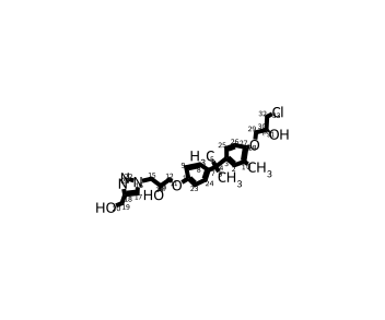 Cc1cc(C(C)(C)c2ccc(OC[C@@H](O)Cn3cc(CO)nn3)cc2)ccc1OC[C@@H](O)CCl